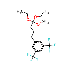 CCOC(CCCc1cc(C(F)(F)F)cc(C(F)(F)F)c1)(O[SiH3])OCC